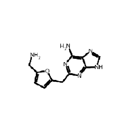 NCc1ccc(Cc2nc(N)c3nc[nH]c3n2)o1